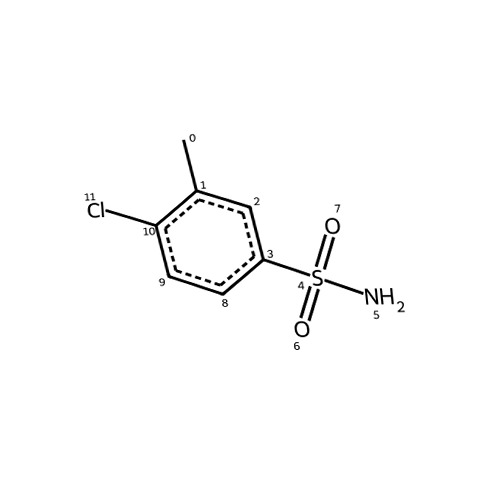 Cc1cc(S(N)(=O)=O)ccc1Cl